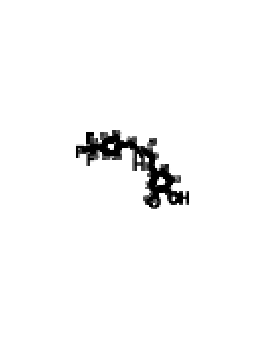 COc1cc(CC[C@@H](C)NCc2ccc(C(F)(F)F)cc2)ccc1O